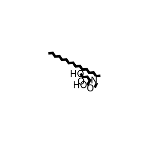 CCCCCCCCCCCCCCC(C)N(CC)C(CC(=O)O)C(=O)O